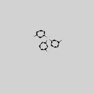 Fc1cccc(P(=[Se])(c2cccc(F)c2)c2cccc(F)c2)c1